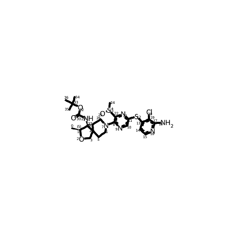 C[C@@H]1OCC2(CCN(c3ncc(Sc4ccnc(N)c4Cl)nc3[S+](C)[O-])CC2)[C@@H]1NC(=O)OC(C)(C)C